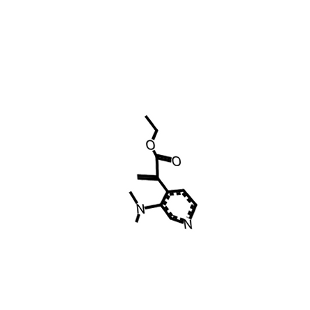 C=C(C(=O)OCC)c1ccncc1N(C)C